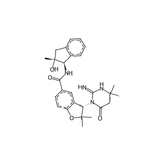 CC1(C)CC(=O)N([C@H]2c3cc(C(=O)N[C@@H]4c5ccccc5C[C@@]4(C)O)ccc3OC2(C)C)C(=N)N1